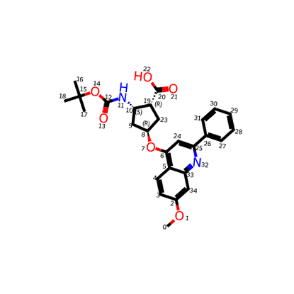 COc1ccc2c(O[C@H]3C[C@H](NC(=O)OC(C)(C)C)[C@H](C(=O)O)C3)cc(-c3ccccc3)nc2c1